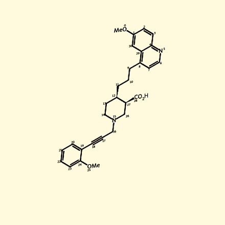 COc1ccc2nccc(CCC[C@@H]3CCN(CC#Cc4ccccc4OC)C[C@@H]3C(=O)O)c2c1